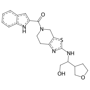 O=C(c1cc2ccccc2[nH]1)N1CCc2nc(NC(CO)C3CCOC3)sc2C1